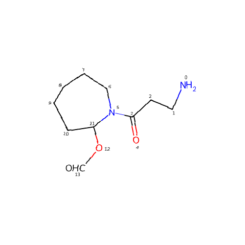 NCCC(=O)N1CCCCCC1OC=O